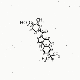 CC1=CN(C(=O)N2CC[C@H]3c4ccc(C(F)(C(F)(F)F)C(F)(F)F)cc4CCC32)CCC1C(=O)O